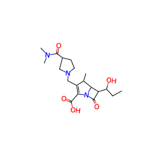 CCC(O)C1C(=O)N2C(C(=O)O)=C(CN3CCC(C(=O)N(C)C)C3)C(C)C12